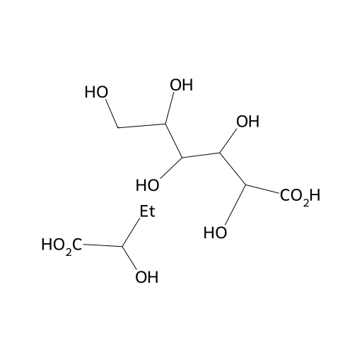 CCC(O)C(=O)O.O=C(O)C(O)C(O)C(O)C(O)CO